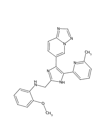 COc1ccccc1NCc1nc(-c2ccc3ncnn3c2)c(-c2cccc(C)n2)[nH]1